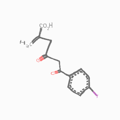 C=C(CC(=O)CC(=O)c1ccc(I)cc1)C(=O)O